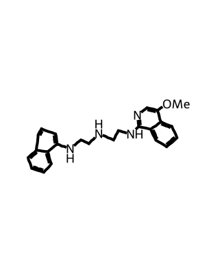 COc1cnc(NCCNCCNc2cccc3ccccc23)c2ccccc12